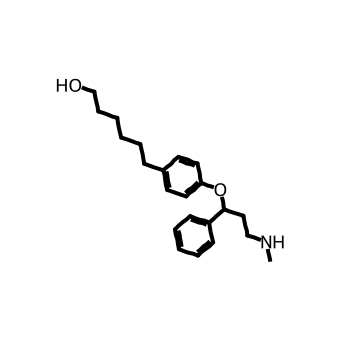 CNCCC(Oc1ccc(CCCCCCO)cc1)c1ccccc1